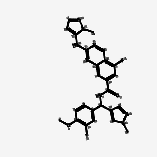 COc1ccc(C(NC(=O)c2cc(F)c3cnc(Nc4ccnn4C)nc3c2)c2cnn(C)c2)cc1F